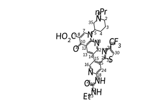 CCCN1CCC[C@@H](n2cc(C(=O)O)c(=O)c3cc(-c4cnc(NC(=O)NCC)cc4-c4nc(C(F)(F)F)cs4)cnc32)C1